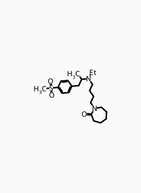 CCN(CCCCN1CCCCCC1=O)C(C)Cc1ccc(S(C)(=O)=O)cc1